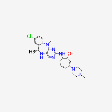 B=C1Nc2cnc(NC3=C(OC)C=C(N4CCN(C)CC4)C=CC3)nc2N(C)c2ccc(Cl)cc21